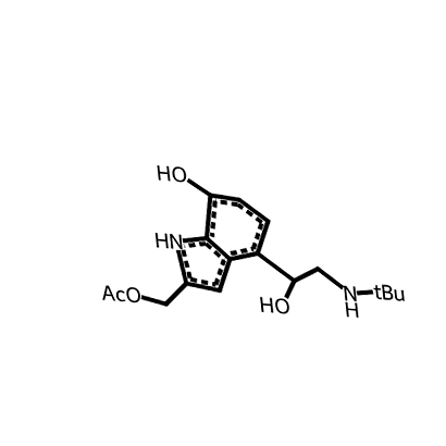 CC(=O)OCc1cc2c(C(O)CNC(C)(C)C)ccc(O)c2[nH]1